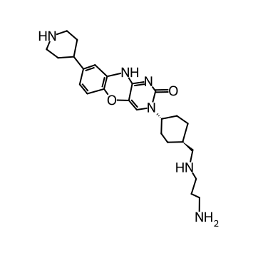 NCCCNC[C@H]1CC[C@H](n2cc3c(nc2=O)Nc2cc(C4CCNCC4)ccc2O3)CC1